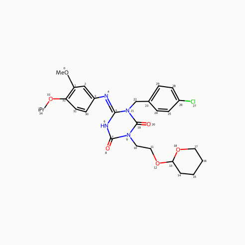 COc1cc(/N=c2\[nH]c(=O)n(CCOC3CCCCO3)c(=O)n2Cc2ccc(Cl)cc2)ccc1OC(C)C